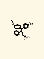 CCOc1ccc(/C(=C(/CCCO)c2ccccc2)c2ccc(O)cc2)cc1